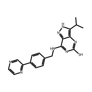 CC(C)c1[nH]nc2c(NCc3ccc(-c4cnccn4)cc3)nc(S)nc12